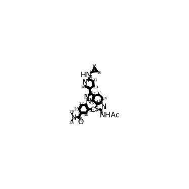 CC(=O)Nc1nc2c(s1)-c1c(c(-c3ccc(NC4CC4)nc3)nn1-c1ccc(C(=O)N(C)C)cc1Cl)CC2